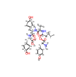 CC[C@H](C)[C@H](OC(=O)[C@@H](Cc1ccc(OC)cc1)N(C)C)C(=O)N[C@H](C(=O)N(C)[C@H](Cc1ccc(O)cc1)C(=O)N(C)[C@@H](Cc1ccc(O)cc1)C(=O)OC)C(C)C